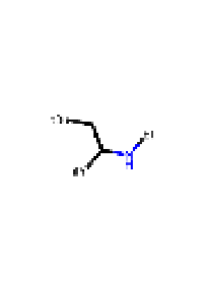 CCNC(CC(C)(C)C)C(C)C